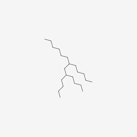 CCCCCC[C](CCCCC)CC(CCCC)CCCC